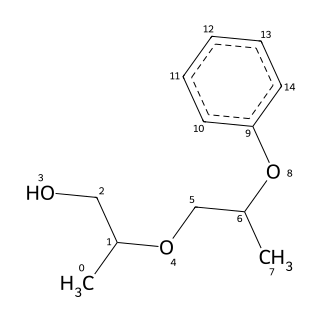 CC(CO)OCC(C)Oc1ccccc1